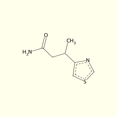 CC(CC(N)=O)c1cscn1